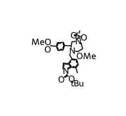 COC(=O)c1ccc(C2CN(S(C)(=O)=O)CCCN2Cc2c(OC)cc(C)c3c2ccn3C(=O)OC(C)(C)C)cc1